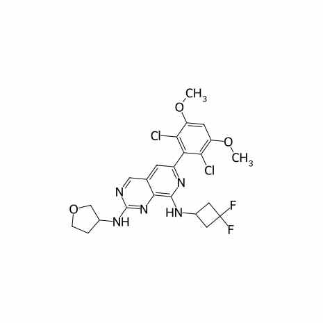 COc1cc(OC)c(Cl)c(-c2cc3cnc(NC4CCOC4)nc3c(NC3CC(F)(F)C3)n2)c1Cl